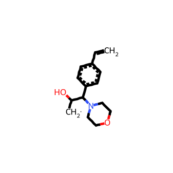 [CH2]C(O)C(c1ccc(C=C)cc1)N1CCOCC1